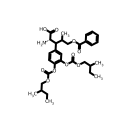 CCC(C)COC(=O)Oc1ccc(C(C(C)COC(=O)c2ccccc2)[C@H](N)C(=O)O)cc1OC(=O)OCC(C)CC